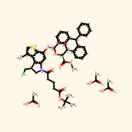 CC(=O)O.CC(=O)O.CC(=O)O.COC(=O)[C@H]1O[C@@H](Oc2cc3c(c4c(C)csc24)C(CCl)CN3C(=O)CCCC(=O)OC(C)(C)C)CC[C@H]1c1ccccc1C(c1ccccc1)c1ccccc1